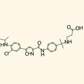 CC(C)Nc1ccc(-c2cc(C(=O)Nc3ccc(C(C)(C)NCCC(=O)O)cc3)no2)cc1Cl